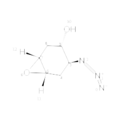 [N-]=[N+]=N[C@H]1C[C@@H]2O[C@@H]2C[C@@H]1O